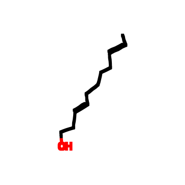 CC=CCCCCC=CCCO